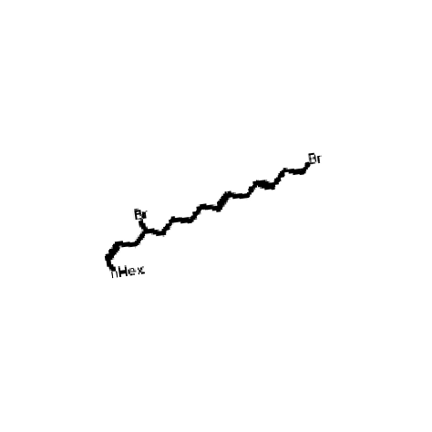 CCCCCC/C=C\CC(Br)CCCCC=CCC=CCCBr